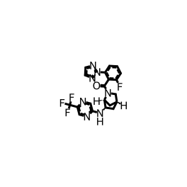 O=C(c1c(F)cccc1-n1nccn1)N1C[C@@H]2C[C@@H](Nc3cnc(C(F)(F)F)cn3)[C@@H]1C2